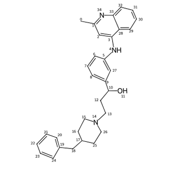 Cc1cc(Nc2cccc(C(O)CCN3CCC(Cc4ccccc4)CC3)c2)c2ccccc2n1